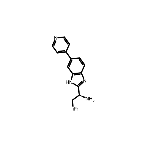 CC(C)C[C@H](N)c1nc2ccc(-c3ccncc3)cc2[nH]1